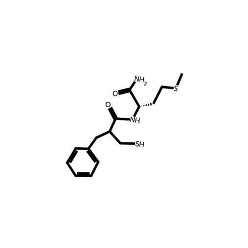 CSCC[C@H](NC(=O)C(CS)Cc1ccccc1)C(N)=O